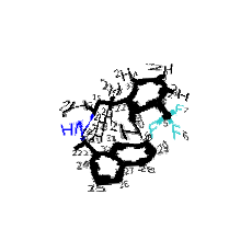 [2H]c1c([2H])c(C(F)(F)F)c([2H])c(C([2H])([2H])CC([2H])([2H])N[C@]([2H])(C)c2cccc3ccccc23)c1[2H]